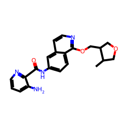 CC1COCC1COc1nccc2cc(NC(=O)c3ncccc3N)ccc12